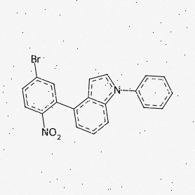 O=[N+]([O-])c1ccc(Br)cc1-c1cccc2c1ccn2-c1ccccc1